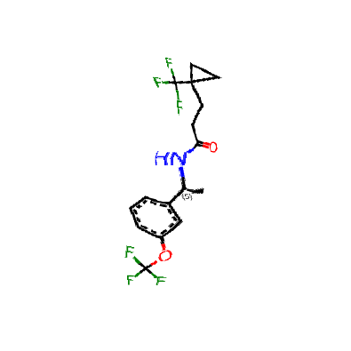 C[C@H](NC(=O)CCC1(C(F)(F)F)CC1)c1cccc(OC(F)(F)F)c1